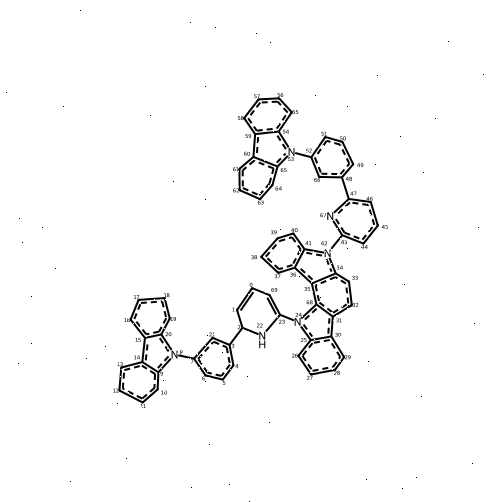 C1=CC(c2cccc(-n3c4ccccc4c4ccccc43)c2)NC(n2c3ccccc3c3ccc4c(c5ccccc5n4-c4cccc(-c5cccc(-n6c7ccccc7c7ccccc76)c5)n4)c32)=C1